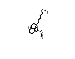 CCCCCC[C@@H]1CC[C@H]2CCCC[C@@]23CC[C@H](SC#N)CN13